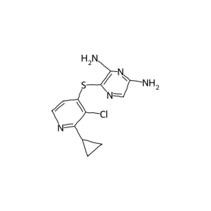 Nc1cnc(Sc2ccnc(C3CC3)c2Cl)c(N)n1